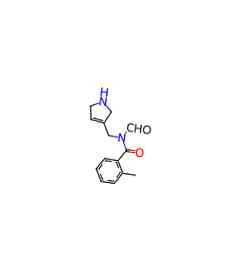 Cc1ccccc1C(=O)N(C=O)CC1=CCNC1